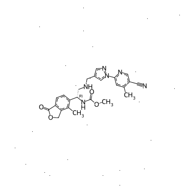 COC(=O)N[C@@H](CNCc1cnn(-c2cc(C)c(C#N)cn2)c1)c1ccc2c(c1C)COC2=O